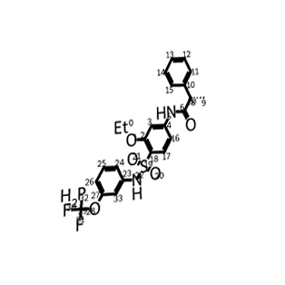 CCOc1cc(NC(=O)[C@@H](C)c2ccccc2)ccc1S(=O)(=O)Nc1cccc(OC(F)(F)P)c1